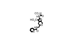 O=C(O)C(=O)Nc1sc2c(c1C(=O)O)CC(CNC(=O)c1ccccn1)OC2